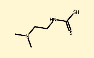 CN(C)CCNC(=S)S